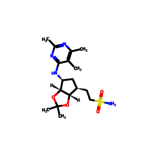 Cc1nc(C)c(C)c(N[C@@H]2C[C@H](CCS(N)(=O)=O)[C@H]3OC(C)(C)O[C@H]32)n1